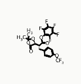 CC1(C)OC(=O)[C@H]([C@@H](Cc2ccc(OC(F)(F)F)cc2)C(=O)Oc2c(F)c(F)c(F)c(F)c2F)O1